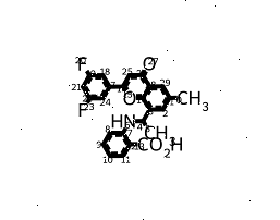 Cc1cc(C(C)Nc2ccccc2C(=O)O)c2oc(-c3cc(F)cc(F)c3)cc(=O)c2c1